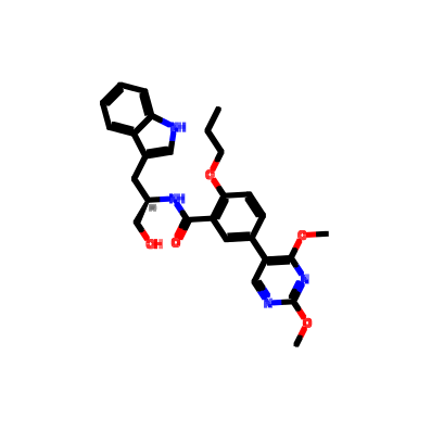 CCCOc1ccc(-c2cnc(OC)nc2OC)cc1C(=O)N[C@@H](CO)Cc1c[nH]c2ccccc12